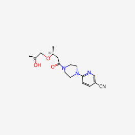 C[C@H](O)CO[C@@H](C)CC(=O)N1CCN(c2ccc(C#N)cn2)CC1